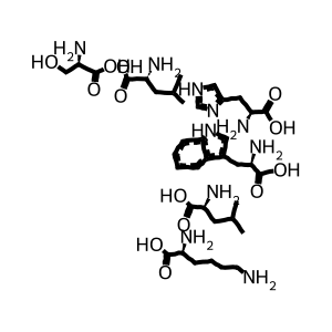 CC(C)C[C@@H](N)C(=O)O.CC(C)C[C@H](N)C(=O)O.NCCCC[C@H](N)C(=O)O.N[C@@H](Cc1c[nH]cn1)C(=O)O.N[C@H](CO)C(=O)O.N[C@H](Cc1c[nH]c2ccccc12)C(=O)O